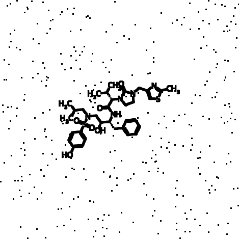 Cc1nc(CN2CCN([C@H](C(=O)N[C@H](Cc3ccccc3)[C@@H](O)CN(CC(C)C)S(=O)(=O)c3ccc(O)cc3)C(C)C)C2=O)cs1